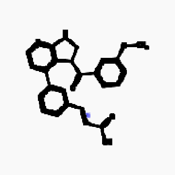 COc1cccc(C(=O)C2CNc3nccc(-c4cccc(/C=C/C(=O)O)c4)c32)c1